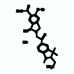 Br.CCOc1cc2c(cc1C(=O)NC)C(=N)N(CC(=O)c1ccc3c(c1)C(C)(C)C(CC(=O)O)N3C)C2